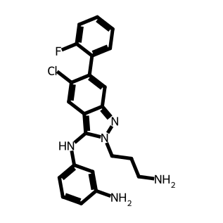 NCCCn1nc2cc(-c3ccccc3F)c(Cl)cc2c1Nc1cccc(N)c1